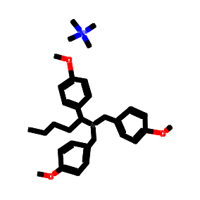 CCCCC(B(Cc1ccc(OC)cc1)Cc1ccc(OC)cc1)c1ccc(OC)cc1.C[N+](C)(C)C